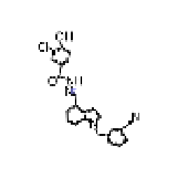 N#Cc1cccc(Cn2ccc3c(/C=N/NC(=O)c4ccc(O)c(Cl)c4)cccc32)c1